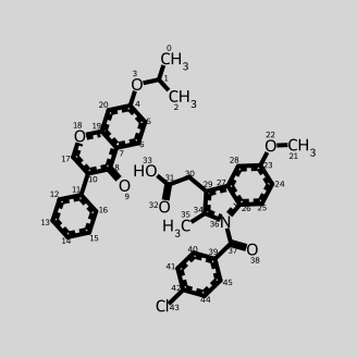 CC(C)Oc1ccc2c(=O)c(-c3ccccc3)coc2c1.COc1ccc2c(c1)c(CC(=O)O)c(C)n2C(=O)c1ccc(Cl)cc1